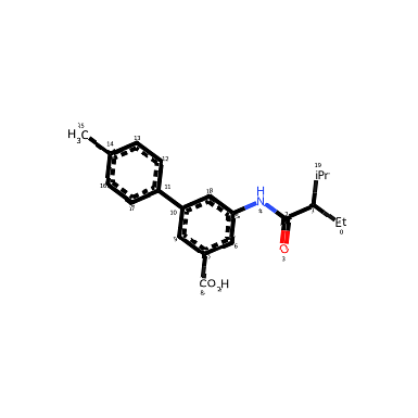 CCC(C(=O)Nc1cc(C(=O)O)cc(-c2ccc(C)cc2)c1)C(C)C